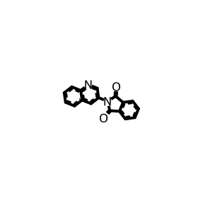 O=C1c2ccccc2C(=O)N1c1cnc2ccccc2c1